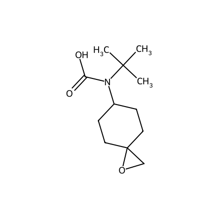 CC(C)(C)N(C(=O)O)C1CCC2(CC1)CO2